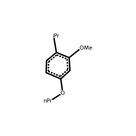 CCCOc1ccc(C(C)C)c(OC)c1